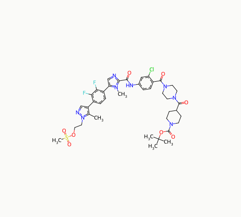 Cc1c(-c2ccc(-c3cnc(C(=O)Nc4ccc(C(=O)N5CCN(C(=O)C6CCN(C(=O)OC(C)(C)C)CC6)CC5)c(Cl)c4)n3C)c(F)c2F)cnn1CCOS(C)(=O)=O